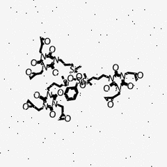 C[Si](C)(CCCn1c(=O)n(CC2CO2)c(=O)n(CC2CO2)c1=O)O[Si](O[Si](C)(C)CCCn1c(=O)n(CC2CO2)c(=O)n(CC2CO2)c1=O)(O[Si](C)(C)CCCn1c(=O)n(CC2CO2)c(=O)n(CC2CO2)c1=O)c1ccccc1